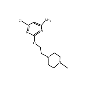 CN1CCN(CCOc2nc(N)cc(Cl)n2)CC1